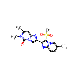 CCS(=O)(=O)c1c(-c2cn3c(=O)n(C)c(C(F)(F)F)cc3n2)nc2ccc(C(F)(F)F)cn12